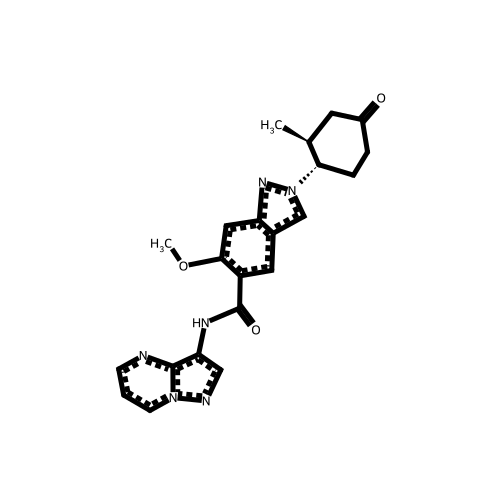 COc1cc2nn([C@H]3CCC(=O)C[C@@H]3C)cc2cc1C(=O)Nc1cnn2cccnc12